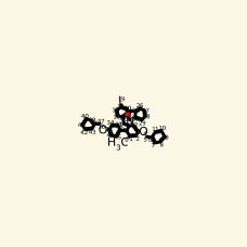 CC1=CC(OCc2ccccc2)=CC(Cc2ccc(I)cc2)(n2ccc3ccccc32)C1c1ccc(OCc2ccccc2)cc1